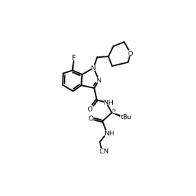 CC(C)(C)[C@H](NC(=O)c1nn(CC2CCOCC2)c2c(F)cccc12)C(=O)NCC#N